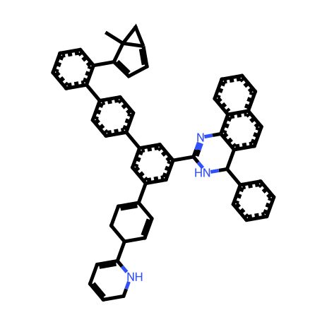 CC12CC1=CC=C2c1ccccc1-c1ccc(-c2cc(C3=CCC(C4=CC=CCN4)C=C3)cc(C3=Nc4c(ccc5ccccc45)C(c4ccccc4)N3)c2)cc1